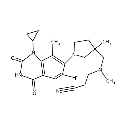 Cc1c(N2CCC(C)(CN(C)CCC#N)C2)c(F)cc2c(=O)[nH]c(=O)n(C3CC3)c12